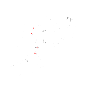 Cc1ccccc1C1(c2ccccc2)c2ccccc2-c2c(N(c3ccc(-c4cccc5c4sc4ccccc45)cc3)c3ccccc3-c3cccc4cccc(-c5ccccc5)c34)cccc21